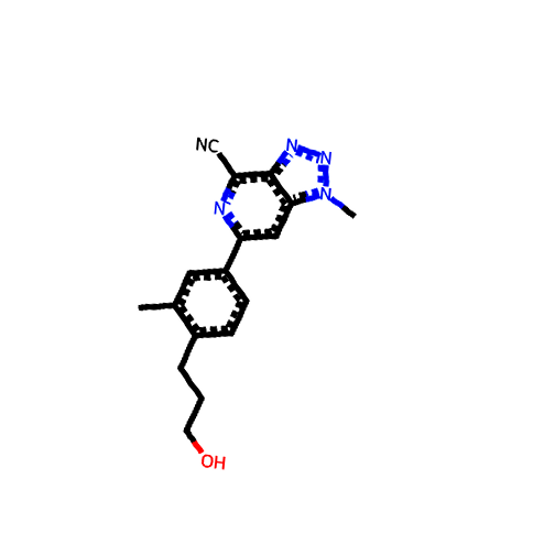 Cc1cc(-c2cc3c(nnn3C)c(C#N)n2)ccc1CCCO